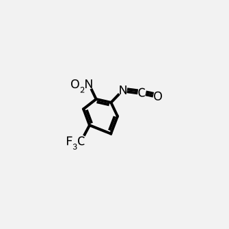 O=C=Nc1ccc(C(F)(F)F)cc1[N+](=O)[O-]